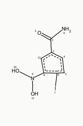 NC(=O)c1ccc(I)c(N(O)O)c1